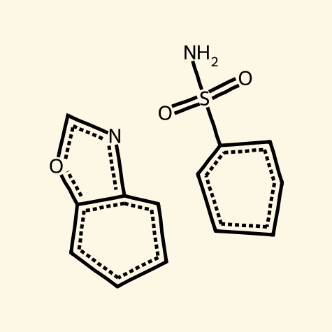 NS(=O)(=O)c1ccccc1.c1ccc2ocnc2c1